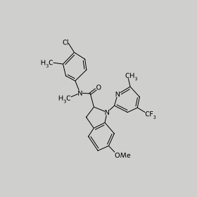 COc1ccc2c(c1)N(c1cc(C(F)(F)F)cc(C)n1)C(C(=O)N(C)c1ccc(Cl)c(C)c1)C2